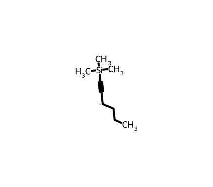 CCC[CH]C#C[Si](C)(C)C